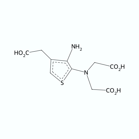 Nc1c(CC(=O)O)csc1N(CC(=O)O)CC(=O)O